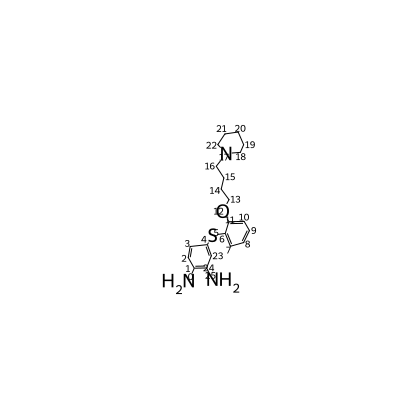 Nc1ccc(Sc2ccccc2OCCCCN2CCCCC2)cc1N